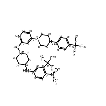 O=[N+]([O-])c1ccc(NC2CCN(Oc3cc(N4CCN(c5ccc(C(F)(F)F)cc5)CC4)ccn3)CC2)cc1C(F)(F)F